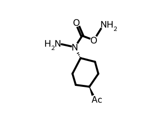 CC(=O)[C@H]1CC[C@H](N(N)C(=O)ON)CC1